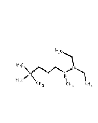 CCN(CC)[SiH](C)CCC[Si](C)(C)C